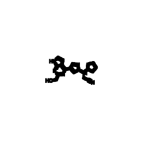 N#CC[C@H](C1CCCC1)n1cc(-c2nc(CO)nc3[nH]ccc23)cn1